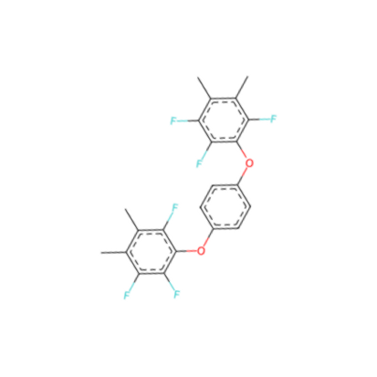 Cc1c(C)c(F)c(Oc2ccc(Oc3c(F)c(C)c(C)c(F)c3F)cc2)c(F)c1F